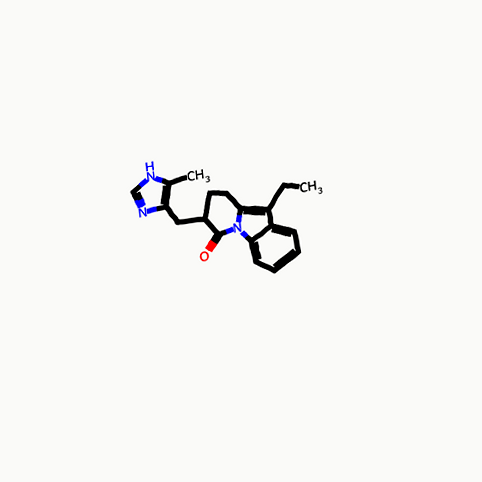 CCc1c2n(c3ccccc13)C(=O)C(Cc1nc[nH]c1C)CC2